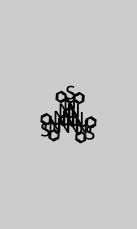 c1ccc2c(c1)Sc1ccccc1N2C1=NC2=NC(N3c4ccccc4Sc4ccccc43)=NC3=NC(N4c5ccccc5Sc5ccccc54)=NC(=N1)N23